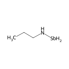 CCC[NH][SbH2]